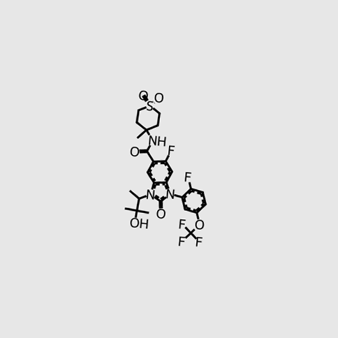 CC(n1c(=O)n(-c2cc(OC(F)(F)F)ccc2F)c2cc(F)c(C(=O)NC3(C)CCS(=O)(=O)CC3)cc21)C(C)(C)O